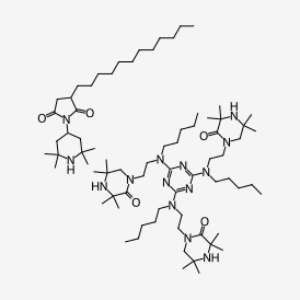 CCCCCCCCCCCCC1CC(=O)N(C2CC(C)(C)NC(C)(C)C2)C1=O.CCCCCN(CCN1CC(C)(C)NC(C)(C)C1=O)c1nc(N(CCCCC)CCN2CC(C)(C)NC(C)(C)C2=O)nc(N(CCCCC)CCN2CC(C)(C)NC(C)(C)C2=O)n1